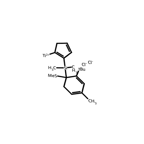 CSC1([Si](C)(C)C2=[C]([Ti+2])CC=C2)CC=C(C)C=C1C(C)(C)C.[Cl-].[Cl-]